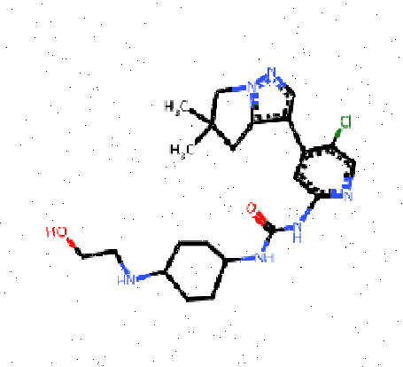 CC1(C)Cc2c(-c3cc(NC(=O)NC4CCC(NCCO)CC4)ncc3Cl)cnn2C1